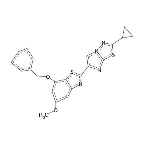 COc1cc(OCc2ccccc2)c2sc(-c3cn4nc(C5CC5)sc4n3)nc2c1